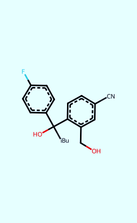 CCC(C)C(O)(c1ccc(F)cc1)c1ccc(C#N)cc1CO